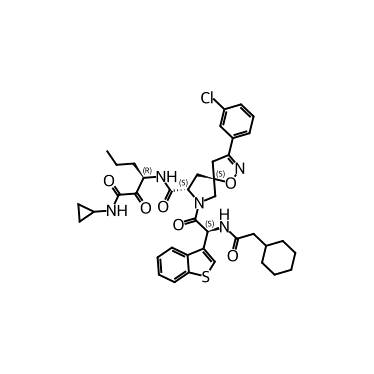 CCC[C@@H](NC(=O)[C@@H]1C[C@]2(CC(c3cccc(Cl)c3)=NO2)CN1C(=O)[C@@H](NC(=O)CC1CCCCC1)c1csc2ccccc12)C(=O)C(=O)NC1CC1